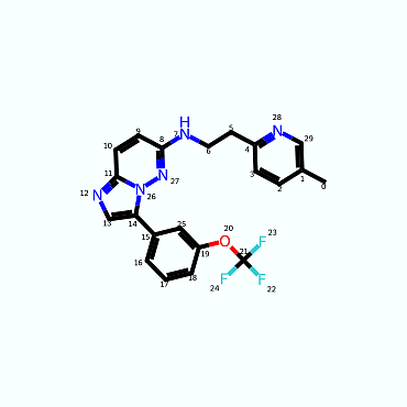 Cc1ccc(CCNc2ccc3ncc(-c4cccc(OC(F)(F)F)c4)n3n2)nc1